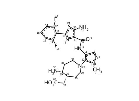 Cn1ncc(NC(=O)c2nc(-c3c(F)cccc3F)sc2N)c1N1CC[C@H](CC(=O)O)[C@H](N)CC1